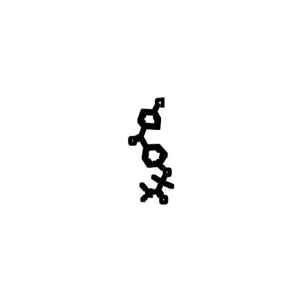 CN(C)C(=O)C(C)(C)Oc1ccc(C(=O)c2ccc(Cl)cc2)cc1